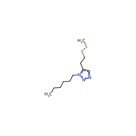 CCCCCCn1nncc1CCSSC